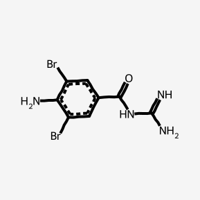 N=C(N)NC(=O)c1cc(Br)c(N)c(Br)c1